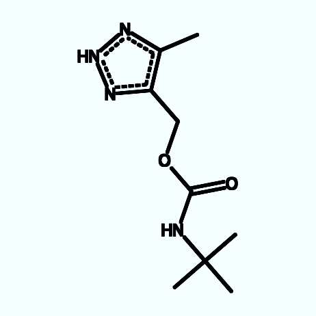 Cc1n[nH]nc1COC(=O)NC(C)(C)C